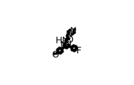 COc1ccc(-c2cc(-c3ccc(F)cc3)nc(NC(=O)CN3CCN(C)CC3)n2)cc1